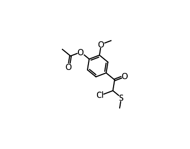 COc1cc(C(=O)C(Cl)SC)ccc1OC(C)=O